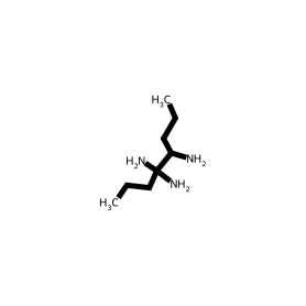 CCCC(N)C(N)(N)CCC